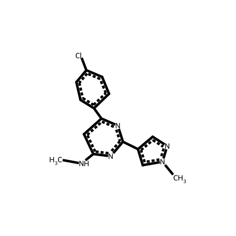 CNc1cc(-c2ccc(Cl)cc2)nc(-c2cnn(C)c2)n1